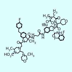 CC1CN(CC(=O)N2C[C@@](C)(C(=O)NCCC(=O)Nc3ccc4c(c3)[C@@H](C(=O)Nc3c(F)cccc3F)N(C(=O)[C@@H](NC(=O)[C@H](C)N(C)C(=O)OC(C)(C)C)C3CCOCC3)C4)c3ccc(Cc4ccc(F)cc4)cc32)C(CN2CCOC[C@H]2C)CN1C(=O)O